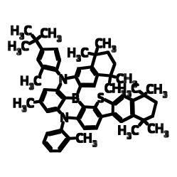 Cc1cc2c3c(c1)N(c1ccccc1C)c1ccc4c(sc5cc6c(cc54)C(C)(C)CCC6(C)C)c1B3c1cc3c(cc1N2c1ccc(C(C)(C)C)cc1C)C(C)(C)CCC3(C)C